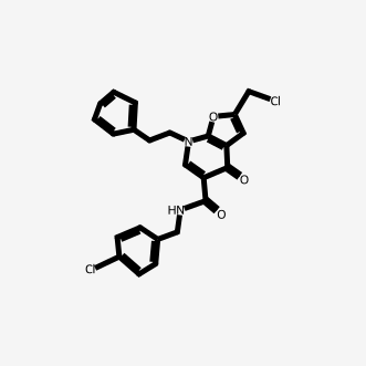 O=C(NCc1ccc(Cl)cc1)c1cn(CCc2ccccc2)c2oc(CCl)cc2c1=O